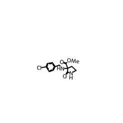 COC(=O)C1(NCc2ccc(Cl)cc2)CCNC1=O